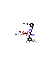 CCCN(CCC)S(=O)(=O)CCC(=O)OC(CNCc1cccc(OC)c1)C(N)Cc1cc(F)cc(C(F)(F)F)c1